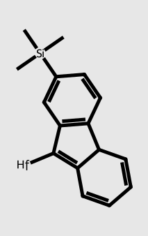 C[Si](C)(C)c1ccc2c(c1)[C]([Hf])=C1C=CC=CC12